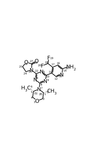 C[C@@H]1COC[C@H](C)N1c1nc(-c2cnc(N)cc2C(F)F)nc(N2CCOC2=O)n1